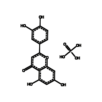 O=P(O)(O)O.O=c1cc(-c2ccc(O)c(O)c2)oc2cc(O)cc(O)c12